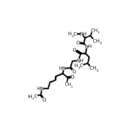 CNC(C(=O)NC(CC(C)C)C(=O)NCC(=O)NC(CCCCNC(C)=O)C(C)=O)C(C)C